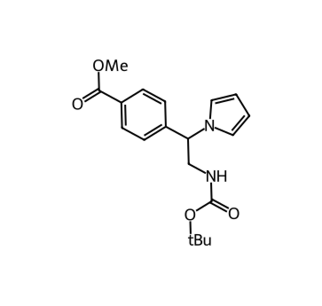 COC(=O)c1ccc(C(CNC(=O)OC(C)(C)C)n2cccc2)cc1